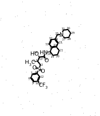 C[C@H](CS(=O)(=O)c1cccc(C(F)(F)F)c1)[C@@H](O)C(=O)N[C@@H]1CCCc2cc(CN3CCCCC3)ccc21